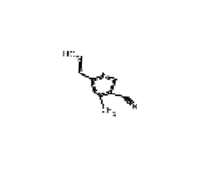 Cc1cc(/C=N/O)ncc1C#N